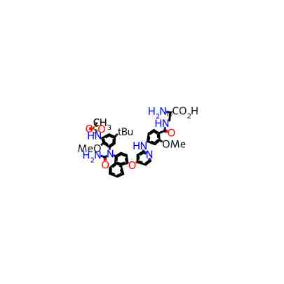 COc1cc(Nc2cc(Oc3ccc(N(C(N)=O)c4cc(C(C)(C)C)cc(NS(C)(=O)=O)c4OC)c4ccccc34)ccn2)ccc1C(=O)NC[C@H](N)C(=O)O